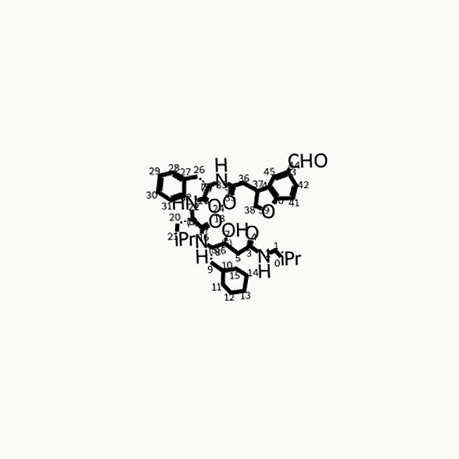 CC(C)CNC(=O)C[C@H](O)[C@H](CC1CCCCC1)NC(=O)[C@H](CC(C)C)NC(=O)[C@H](Cc1ccccc1)NC(=O)CC1COc2ccc(C=O)cc21